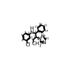 CCC(C(Nc1cccc(Cl)c1)c1ccccc1)n1cncn1